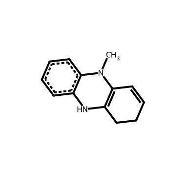 CN1C2=C(CCC=C2)Nc2ccccc21